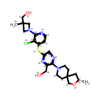 C[C@H]1CC2(CCN(c3ncc(Sc4ccnc(N5CC(C)(CO)C5)c4Cl)nc3CO)CC2)CO1